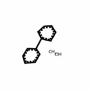 C.Cl.c1ccc(-c2ccccc2)cc1